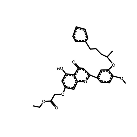 CCOC(=O)COc1cc(O)c2c(=O)cc(-c3ccc(OC)c(OC(C)CCCc4ccccc4)c3)oc2c1